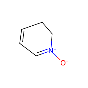 [O-][N+]1=CC=CCC1